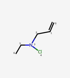 C=CCN(Cl)CC